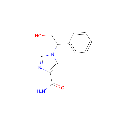 NC(=O)c1cn(C(CO)c2ccccc2)cn1